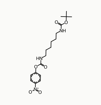 CC(C)(C)OC(=O)NCCCCCCNC(=O)Oc1ccc([N+](=O)[O-])cc1